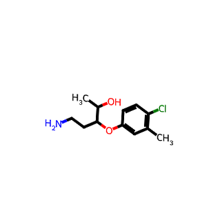 Cc1cc(OC(CCN)C(C)O)ccc1Cl